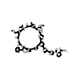 CNC(=O)C[C@@H]1NC(=O)c2csc(n2)-c2ccc(-c3nc(C4=N[C@H](C(=O)N5CCC[C@H]5C(N)=O)CO4)cs3)nc2-c2csc(n2)-c2csc(n2)[C@H]([C@@H](O)c2ccccc2)NC(=O)CNC(=O)c2nc(sc2COC)[C@H](C(C)C)NC(=O)c2nc1sc2C